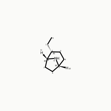 CC[C@@H]1CC[C@@H]2CC[C@H]1N2